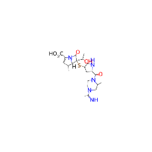 CC(=N)N1CCN(C(=O)C2CC(SC3(C(C)O)C(=O)N4C(C(=O)O)=CC(C)[C@H]43)CN2)C(C)C1